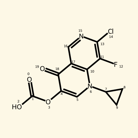 O=C(O)Oc1cn(C2CC2)c2c(F)c(Cl)ncc2c1=O